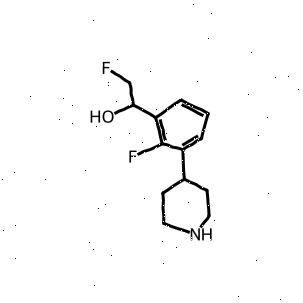 OC(CF)c1cccc(C2CCNCC2)c1F